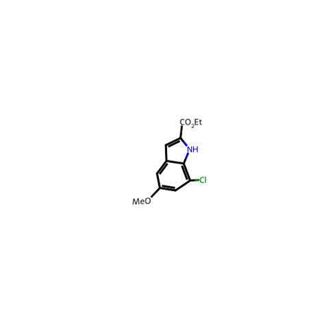 CCOC(=O)c1cc2cc(OC)cc(Cl)c2[nH]1